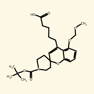 COCOc1cccc2c1C(CCCCC(=O)O)=CC1(CCN(C(=O)OC(C)(C)C)CC1)O2